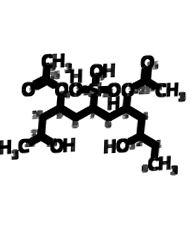 CCC(O)CC(CC(CC(CC(C)O)OC(C)=O)[Si](O)(O)O)OC(C)=O